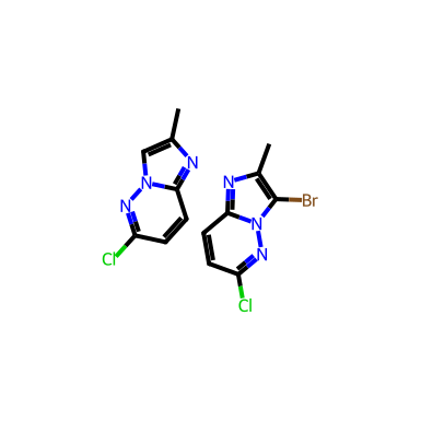 Cc1cn2nc(Cl)ccc2n1.Cc1nc2ccc(Cl)nn2c1Br